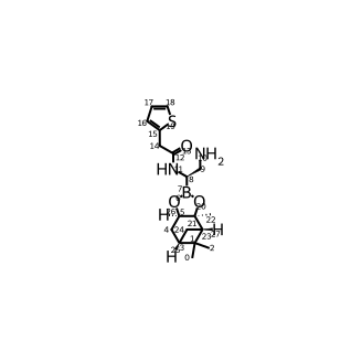 CC1(C)[C@@H]2C[C@H]3OB([C@H](CN)NC(=O)Cc4cccs4)O[C@@]3(C)[C@H]1C2